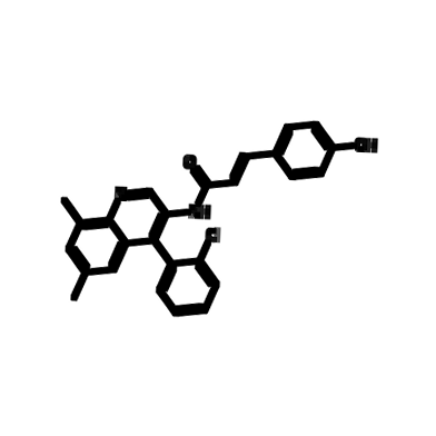 Cc1cc(C)c2ncc(NC(=O)C=Cc3ccc(O)cc3)c(-c3ccccc3Cl)c2c1